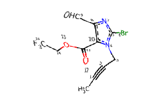 CC#CCn1c(Br)nc(C=O)c1C(=O)OCC(F)(F)F